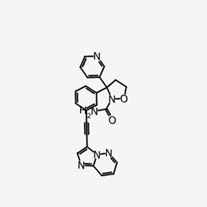 NC(=O)N1OCCC1(c1cccnc1)c1cccc(C#Cc2cnc3cccnn23)c1